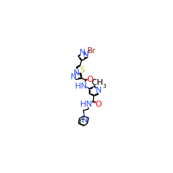 Cc1ncc(C(=O)NCCN2CC3CCC2CC3)cc1NC(=O)c1cnn2cc(-c3cnn(Br)c3)sc12